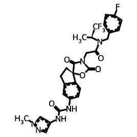 C[C@H](N(Cc1ccc(F)cc1)C(=O)CN1C(=O)O[C@@]2(CCc3cc(NC(=O)Nc4cnn(C)c4)ccc32)C1=O)C(F)(F)F